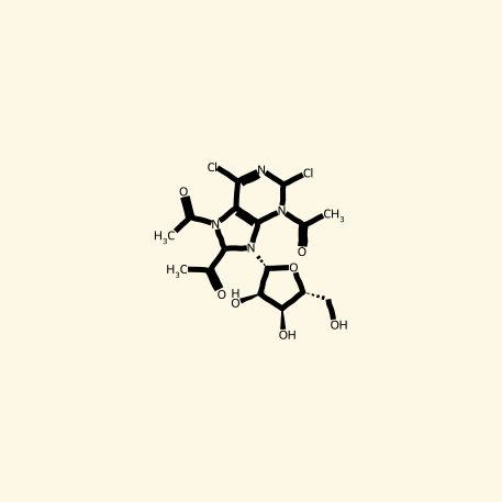 CC(=O)C1N(C(C)=O)C2=C(N(C(C)=O)C(Cl)N=C2Cl)N1[C@@H]1O[C@H](CO)[C@@H](O)[C@H]1O